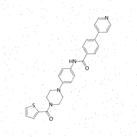 O=C(Nc1ccc(N2CCN(C(=O)c3cccs3)CC2)cc1)c1ccc(-c2ccncc2)cc1